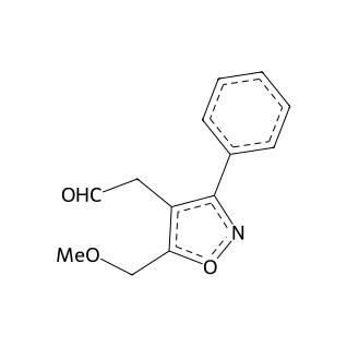 COCc1onc(-c2ccccc2)c1CC=O